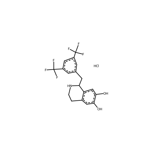 Cl.Oc1cc2c(cc1O)C(Cc1cc(C(F)(F)F)cc(C(F)(F)F)c1)NCC2